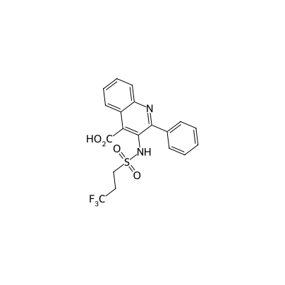 O=C(O)c1c(NS(=O)(=O)CCC(F)(F)F)c(-c2ccccc2)nc2ccccc12